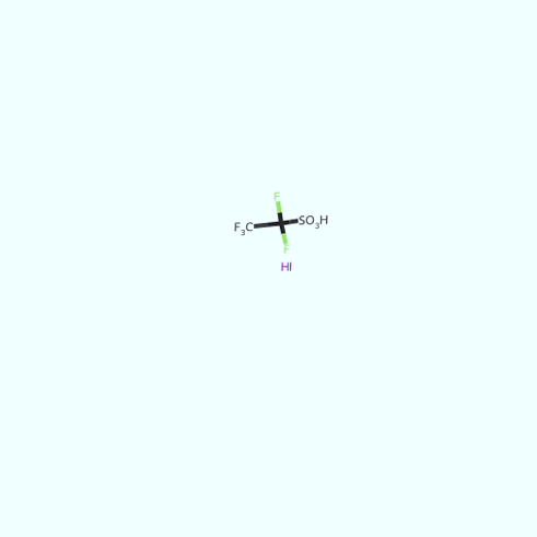 I.O=S(=O)(O)C(F)(F)C(F)(F)F